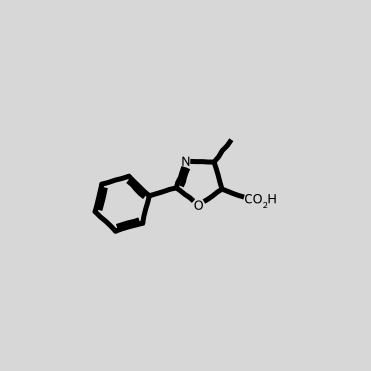 CC1N=C(c2ccccc2)OC1C(=O)O